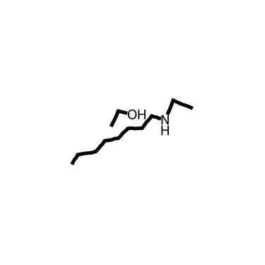 CCCCCCCCNCC.CCO